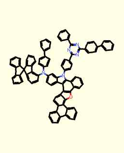 c1ccc(-c2ccc(-c3nc(-c4ccccc4)nc(-c4ccc(-n5c6cc(N(c7ccc(-c8ccccc8)cc7)c7cccc8c7-c7ccccc7C87c8ccccc8-c8ccccc87)ccc6c6c7c8ccc9c%10ccccc%10c%10ccccc%10c9c8oc7c7ccccc7c65)cc4)n3)cc2)cc1